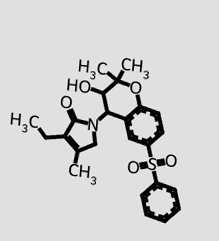 CCC1=C(C)CN(C2c3cc(S(=O)(=O)c4ccccc4)ccc3OC(C)(C)C2O)C1=O